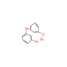 OOc1ccccc1.Oc1cccc(O)c1